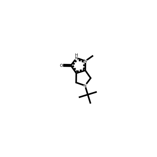 Cn1[nH]c(=O)c2c1CN(C(C)(C)C)C2